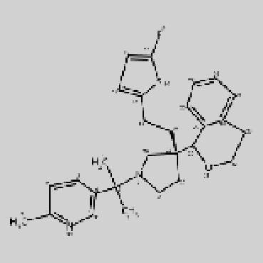 Cc1ccc(C(C)(C)N2CC[C@@](CCc3ccc(F)s3)(C3OCCc4ccccc43)C2)cn1